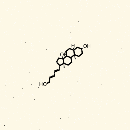 C[C@]12CC[C@H](O)C[C@H]1CCC1C2CC[C@]2(C)[C@@H](/C=C/C=C/CO)CC[C@]12O